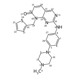 CN1CCN(c2ccc(Nc3ncc4ccc(=O)n(Cc5cccs5)c4n3)cc2)CC1